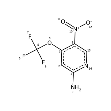 Nc1cc(OC(F)(F)F)c([N+](=O)[O-])cn1